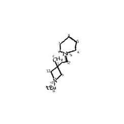 CC1(CN2CCCCC2)CN(C(C)(C)C)C1